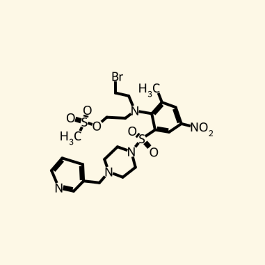 Cc1cc([N+](=O)[O-])cc(S(=O)(=O)N2CCN(Cc3cccnc3)CC2)c1N(CCBr)CCOS(C)(=O)=O